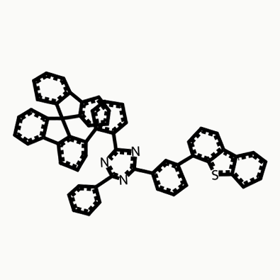 c1ccc(-c2nc(-c3cccc(-c4cccc5c4sc4ccccc45)c3)nc(-c3ccccc3-c3cccc4c3C3(c5ccccc5-c5ccccc53)c3ccccc3-4)n2)cc1